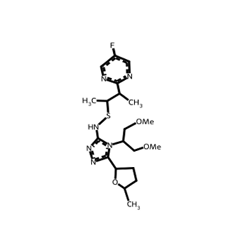 COCC(COC)n1c(NSC(C)C(C)c2ncc(F)cn2)nnc1C1CCC(C)O1